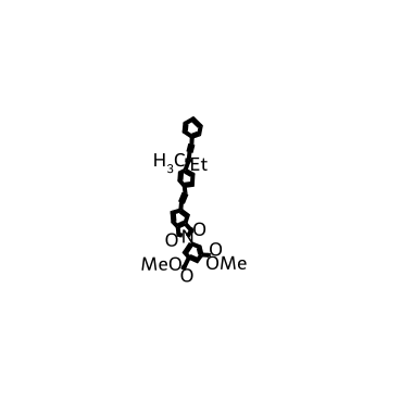 CCC(C)(C#Cc1ccccc1)c1ccc(C#Cc2ccc3c(c2)C(=O)N(c2cc(C(=O)OC)cc(C(=O)OC)c2)C3=O)cc1